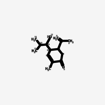 C=C(C)C1CC(=O)C(C)=CC1C(O)C(C)C